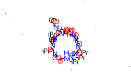 CC(C)C[C@@H]1C(=O)N[C@H](CC(C)C)C(=O)N(C)C(C(C)C)C(=O)N(C)C([C@H](O)[C@H](C)CCN(C)CC2COCCO2)C(=O)NC([C@@H](C)O)C(=O)N(C)CC(=O)N(C)[C@@H](CC(C)C)C(=O)N[C@H](CC(C)C)N(C)[C@H](CC(C)C)N[C@H](C)C(=O)OC(=O)N1C